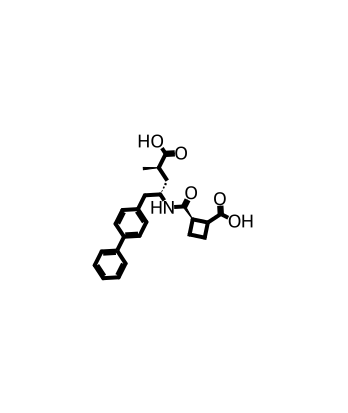 C[C@H](C[C@@H](Cc1ccc(-c2ccccc2)cc1)NC(=O)[C@@H]1CCC1C(=O)O)C(=O)O